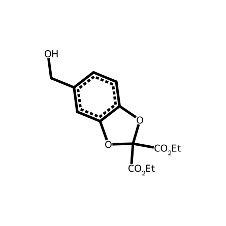 CCOC(=O)C1(C(=O)OCC)Oc2ccc(CO)cc2O1